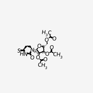 CC(=O)OC[C@H]1O[C@@H](n2ccc(=S)[nH]c2=O)[C@H](OC(C)=O)[C@@H]1OC(C)=O